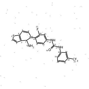 NC1c2ccsc2C=CN1c1ccc(NC(=O)Nc2cccc(C(F)(F)F)c2)cc1F